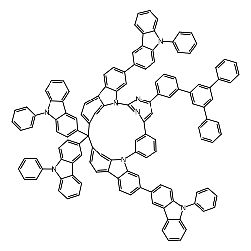 c1ccc(-c2cc(-c3ccccc3)cc(-c3cccc(-c4cc5nc(n4)-n4c6cc(-c7ccc8c(c7)c7ccccc7n8-c7ccccc7)ccc6c6ccc(cc64)C(c4ccc6c(c4)c4ccccc4n6-c4ccccc4)(c4ccc6c(c4)c4ccccc4n6-c4ccccc4)c4ccc6c7ccc(-c8ccc9c(c8)c8ccccc8n9-c8ccccc8)cc7n(c6c4)-c4cccc-5c4)c3)c2)cc1